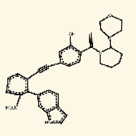 O=C(O)c1cccc(C#Cc2ccc(C(=O)N3CCCCC3N3CCOCC3)c(O)c2)c1-c1ccc2cc[nH]c2c1